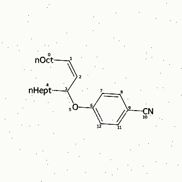 CCCCCCCC/C=C\C(CCCCCCC)Oc1ccc(C#N)cc1